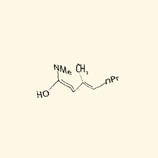 CCC/C=C(C)/C=C(/O)NC